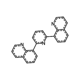 c1cc(-c2cccc3cccnc23)nc(-c2cccc3cccnc23)c1